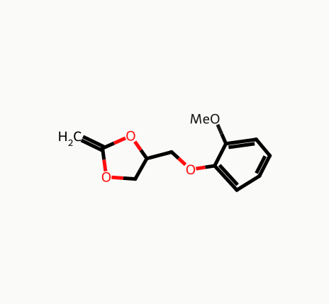 C=C1OCC(COc2ccccc2OC)O1